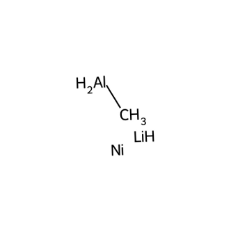 [CH3][AlH2].[LiH].[Ni]